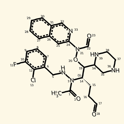 CC(=O)N(NCc1cccc(F)c1Cl)[C@@H](CCC=O)C(ON(C=O)c1cc2ccccc2cn1)C1CNCCN1